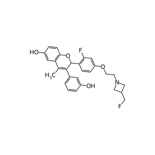 CC1=C(c2cccc(O)c2)C(c2ccc(OCCN3CC(CF)C3)cc2F)Oc2ccc(O)cc21